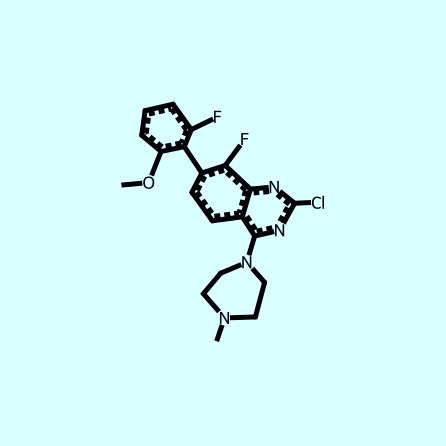 COc1cccc(F)c1-c1ccc2c(N3CCN(C)CC3)nc(Cl)nc2c1F